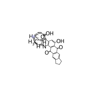 CC(C)[C@@]12O[C@]13c1cc(O)c4c(c1N[C@H]2C#C/C=C\C#C[C@H]3O)C(=O)c1cc2c(cc1C4=O)CCC2